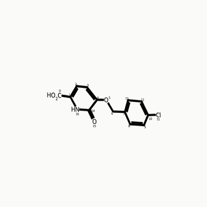 O=C(O)c1ccc(OCc2ccc(Cl)cc2)c(=O)[nH]1